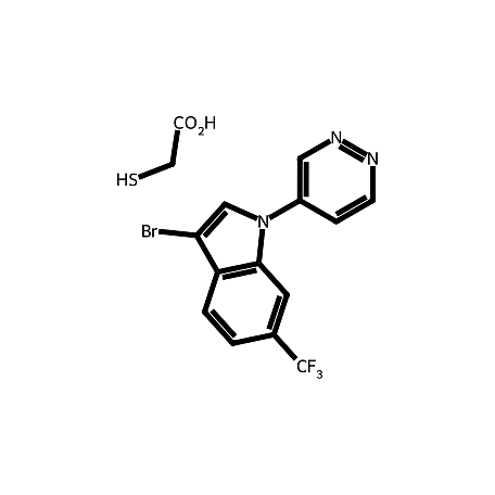 FC(F)(F)c1ccc2c(Br)cn(-c3ccnnc3)c2c1.O=C(O)CS